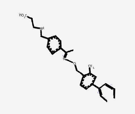 C/C=C\C(=C/C)c1ccc(CO/N=C(\C)c2ccc(CNCCC(=O)O)cc2)c(C(F)(F)F)c1